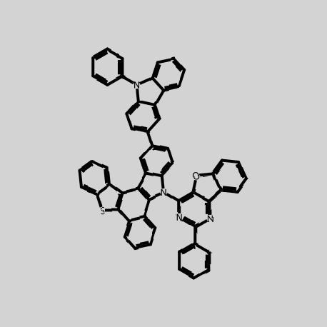 c1ccc(-c2nc(-n3c4ccc(-c5ccc6c(c5)c5ccccc5n6-c5ccccc5)cc4c4c5c6ccccc6sc5c5ccccc5c43)c3oc4ccccc4c3n2)cc1